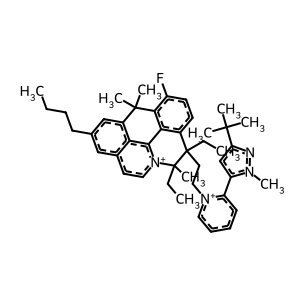 CCCCc1cc2c3c4[n+](ccc3c1)C(C)(CC)C(CC)(CC[n+]1ccccc1-c1cc(C(C)(C)C)nn1C)c1ccc(F)c(c1-4)C2(C)C